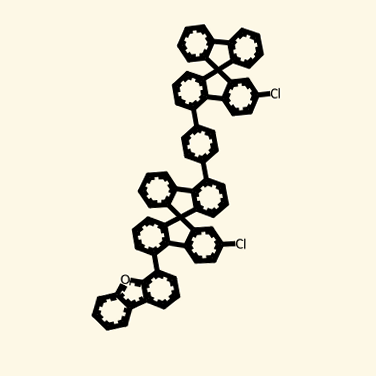 Clc1ccc2c(c1)C1(c3ccccc3-c3ccccc31)c1cccc(-c3ccc(-c4cccc5c4-c4ccccc4C54c5cc(Cl)ccc5-c5c(-c6cccc7c6oc6ccccc67)cccc54)cc3)c1-2